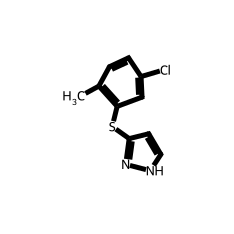 Cc1ccc(Cl)cc1Sc1cc[nH]n1